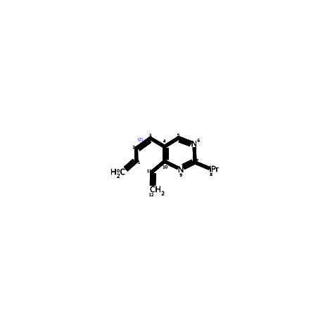 C=C/C=C\c1cnc(C(C)C)nc1C=C